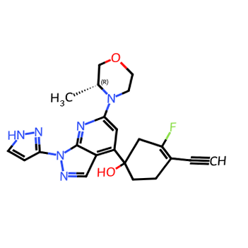 C#CC1=C(F)CC(O)(c2cc(N3CCOC[C@H]3C)nc3c2cnn3-c2cc[nH]n2)CC1